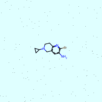 Nc1cc2c(nc1Br)CCN(C1CC1)C2